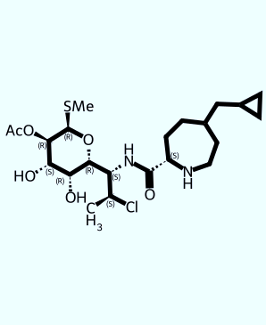 CS[C@H]1O[C@H]([C@H](NC(=O)[C@@H]2CCC(CC3CC3)CCN2)[C@H](C)Cl)[C@H](O)[C@H](O)[C@H]1OC(C)=O